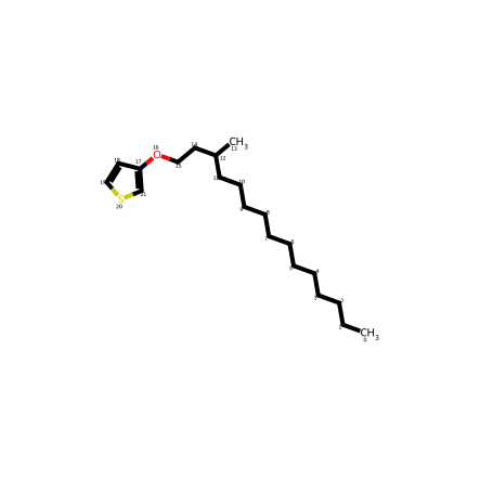 CCCCCCCCCCCCC(C)CCOc1ccsc1